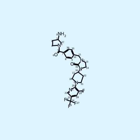 NC1CCN(C(=O)c2ccc(CN3CCN(C4CCN(c5ncc(C(F)(F)F)cc5F)CC4)C3=O)cc2)C1